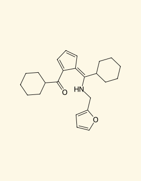 O=C(C1=CC=CC1=C(NCc1ccco1)C1CCCCC1)C1CCCCC1